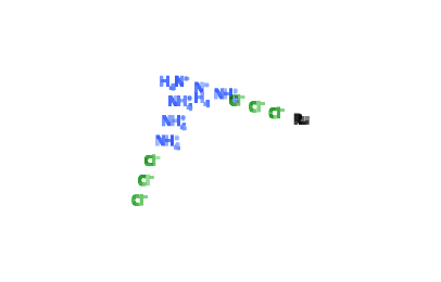 [Cl-].[Cl-].[Cl-].[Cl-].[Cl-].[Cl-].[NH4+].[NH4+].[NH4+].[NH4+].[NH4+].[NH4+].[Ru]